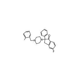 Cc1ccccc1CN1CCN(C2(c3ccccc3)Cc3cc(F)ccc3C2=O)CC1